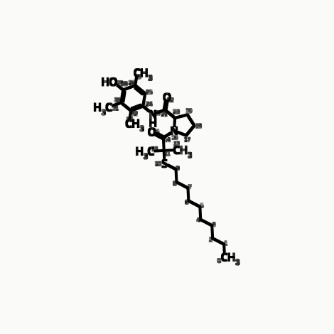 CCCCCCCCCCSC(C)(C)C(=O)N1CCCC1C(=O)Nc1cc(C)c(O)c(C)c1C